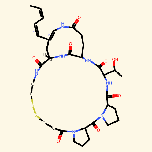 C\C=C/C=C\C1=C\NC(=O)CCC2NC(=O)C(C(C)O)NC(=O)C3CCCN3C(=O)C3CCCN3C(=O)CCSSCCNC(=O)[C@H](C1)NC2=O